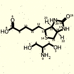 NC(CO)CO.O=C(O)CCCC[C@@H]1SC[C@@H]2NC(=O)N[C@@H]21